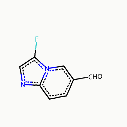 O=Cc1ccc2ncc(F)n2c1